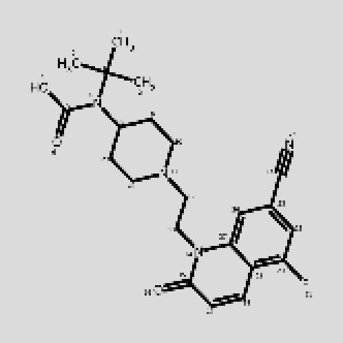 CC(C)(C)N(C(=O)O)C1CCN(CCn2c(=O)ccc3c(F)cc(C#N)cc32)CC1